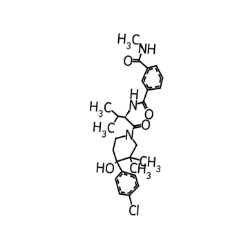 CNC(=O)c1cccc(C(=O)N[C@@H](C(=O)N2CC[C@](O)(c3ccc(Cl)cc3)C(C)(C)C2)C(C)C)c1